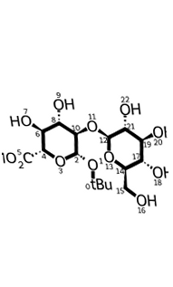 CC(C)(C)O[C@@H]1O[C@H](C(=O)O)[C@@H](O)[C@H](O)[C@H]1O[C@@H]1O[C@H](CO)[C@@H](O)[C@H](O)[C@H]1O